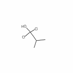 CC(C)C(O)(Cl)Cl